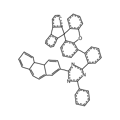 C1=CC2=CC=C3C=C(c4nc(-c5ccccc5)nc(-c5ccccc5-c5cccc6c5Oc5ccccc5C65c6ccccc6-c6ccccc65)n4)C=CC3C2C=C1